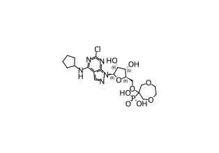 O=P(O)(O)C1(OC[C@H]2O[C@@H](n3ncc4c(NC5CCCC5)nc(Cl)nc43)[C@H](O)[C@@H]2O)COCCOC1